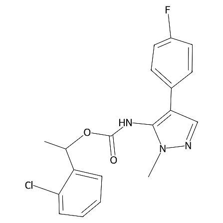 CC(OC(=O)Nc1c(-c2ccc(F)cc2)cnn1C)c1ccccc1Cl